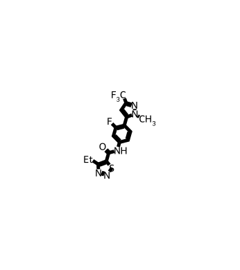 CCc1nnsc1C(=O)Nc1ccc(-c2cc(C(F)(F)F)nn2C)c(F)c1